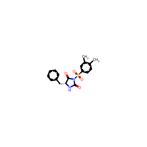 Cc1ccc(S(=O)(=O)N2C(=O)N[C@H](Cc3ccccc3)C2=O)cc1C